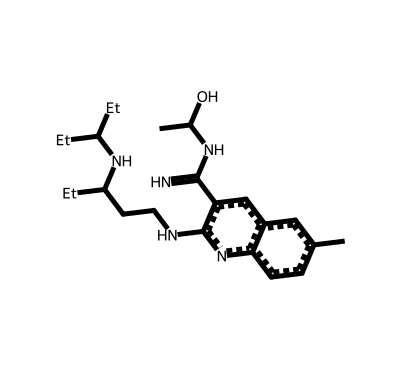 CCC(CC)NC(CC)CCNc1nc2ccc(C)cc2cc1C(=N)NC(C)O